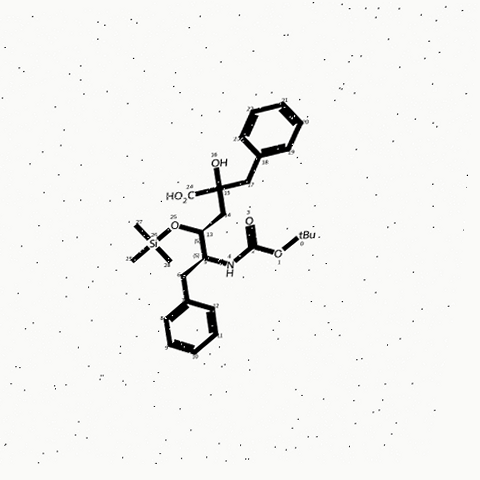 CC(C)(C)OC(=O)N[C@@H](Cc1ccccc1)[C@H](CC(O)(Cc1ccccc1)C(=O)O)O[Si](C)(C)C